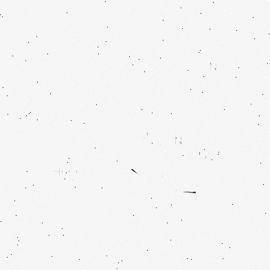 C[C@@]12CC[C@@](CCCC(=O)O)(O1)C1C(=O)N(c3ccc(C#N)c4ccccc34)C(=O)C12